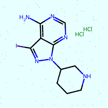 Cl.Cl.Nc1ncnc2c1c(I)nn2C1CCCNC1